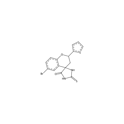 O=C1NC(=S)NC12CC(c1cccs1)Oc1ccc(Br)cc12